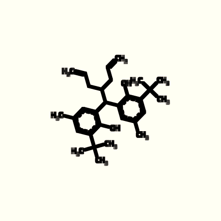 C=CCC(CC=C)C(c1cc(C)cc(C(C)(C)C)c1O)c1cc(C)cc(C(C)(C)C)c1O